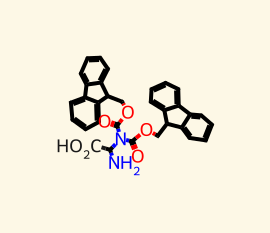 NC(C(=O)O)N(C(=O)OCC1c2ccccc2-c2ccccc21)C(=O)OCC1c2ccccc2-c2ccccc21